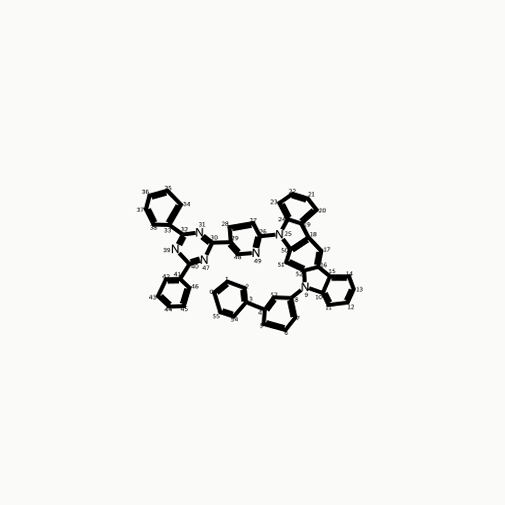 c1ccc(-c2cccc(-n3c4ccccc4c4cc5c6ccccc6n(-c6ccc(-c7nc(-c8ccccc8)nc(-c8ccccc8)n7)cn6)c5cc43)c2)cc1